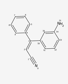 N#C/C=C(/c1ccccc1)c1cccc(N)c1